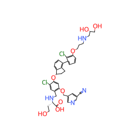 N#Cc1cncc(COc2cc(OC3CCc4c(-c5cccc(OCCCNC[C@H](O)CO)c5Cl)cccc43)c(Cl)cc2CN[C@@H](CCO)C(=O)O)c1